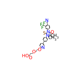 CC1(C)C(=O)N(c2ccc(C#N)c(C(F)(F)F)c2)C(=S)N1c1ccc(-c2ccc(OCCOCCC(=O)O)nc2)cc1